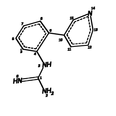 N=C(N)Nc1[c]cccc1-c1cccnc1